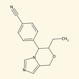 CCC1OCc2cncn2C1c1ccc(C#N)cc1